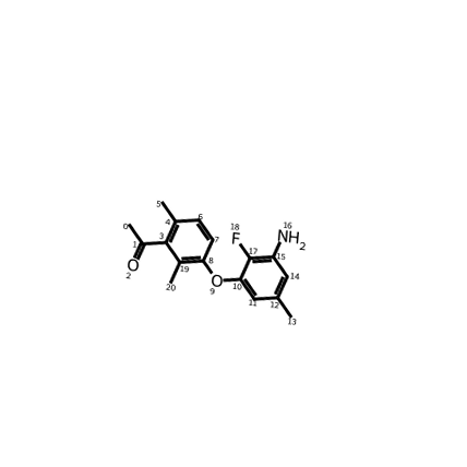 CC(=O)c1c(C)ccc(Oc2cc(C)cc(N)c2F)c1C